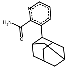 NC(=O)c1ncccc1C1C2CC3CC(C2)CC1C3